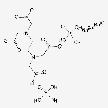 O=C([O-])CN(CCN(CC(=O)[O-])CC(=O)[O-])CC(=O)[O-].O=P(O)(O)O.O=P(O)(O)O.[K+].[Na+].[Na+].[Na+]